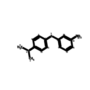 CN(C)c1ccc(Sc2cccc([N+](=O)[O-])c2)cc1